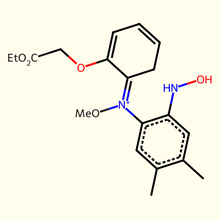 CCOC(=O)COC1=CC=CC/C1=[N+](/OC)c1cc(C)c(C)cc1NO